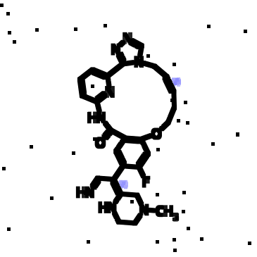 CN1CCN/C(=C(\C=N)c2cc3c(cc2F)OCC/C=C\Cn2cnnc2-c2cccc(n2)NC3=O)C1